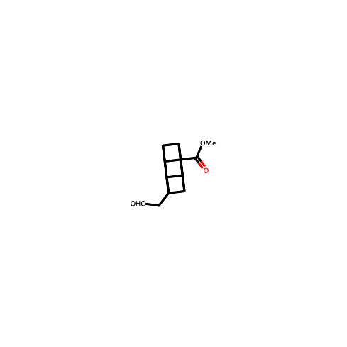 COC(=O)C12C3C4C1C1C2C3C41CC=O